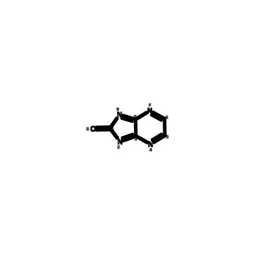 O=C1N=c2nccnc2=N1